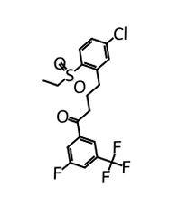 CCS(=O)(=O)c1ccc(Cl)cc1CCCC(=O)c1cc(F)cc(C(F)(F)F)c1